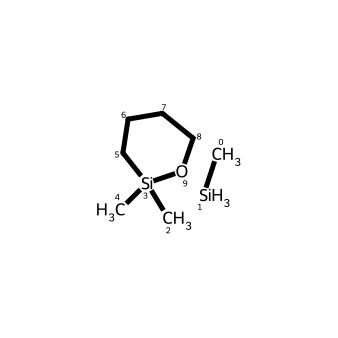 C[SiH3].C[Si]1(C)CCCCO1